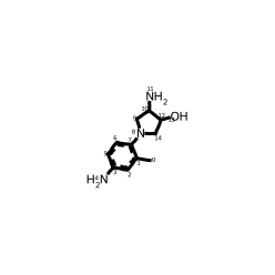 Cc1cc(N)ccc1N1CC(N)C(O)C1